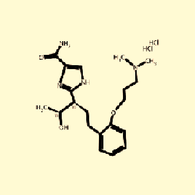 C[C@H](O)[C@H](CCc1ccccc1OCCCN(C)C)c1nc(C(N)=O)c[nH]1.Cl.Cl